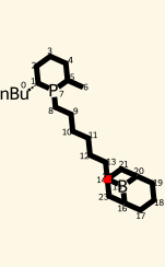 CCCC[C@@H]1CCCC(C)P1CCCCCCCB1C2CCCC1CCC2